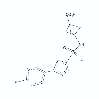 O=C(O)C12CC(NS(=O)(=O)c3cnc(-c4ccc(F)cc4)s3)(C1)C2